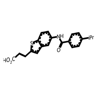 CC(C)c1ccc(C(=O)Nc2ccc3sc(CCC(=O)O)cc3c2)cc1